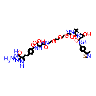 Cc1ncsc1-c1ccc(CNC(=O)C2C[C@@H](O)CN2C(=O)C(NC(=O)COCCOCCOCCNC(=O)CCC(NC(=O)c2ccc(CCc3c[nH]c4nc(N)[nH]c(=O)c34)cc2)C(=O)O)C(C)(C)C)cc1